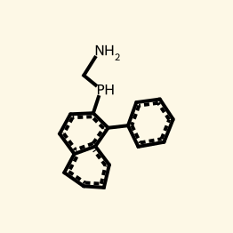 NCPc1ccc2ccccc2c1-c1ccccc1